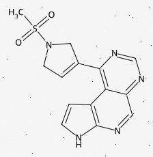 CS(=O)(=O)N1CC=C(c2ncnc3cnc4[nH]ccc4c23)C1